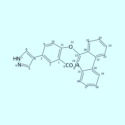 O=C(O)c1cc(-c2cn[nH]c2)ccc1Oc1cc2ccccc2c2ccccc12